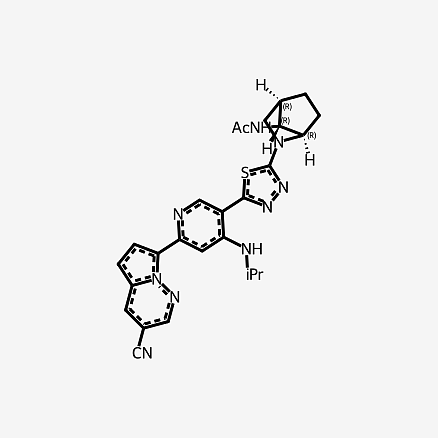 CC(=O)N[C@@H]1[C@@H]2CC[C@H]1N(c1nnc(-c3cnc(-c4ccc5cc(C#N)cnn45)cc3NC(C)C)s1)C2